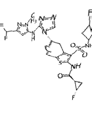 Cn1nc(C(F)F)cc1Nc1nncn1[C@H]1CCc2sc(NC(=O)[C@H]3C[C@@H]3F)c(S(=O)(=O)NC3CC(F)C3)c2C1